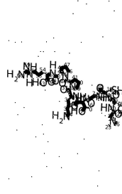 C[C@@H](O)[C@H](NC(=O)CNC(=O)[C@H](CS)NC(=O)[C@H](CO)NC(=O)CN(C)C)C(=O)N[C@@H](CCCCN)C(=O)N1CCC[C@H]1C(=O)N1CCC[C@H]1C(=O)N[C@@H](CCCNC(=N)N)C(=O)O